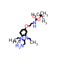 CCN1c2cc(OCCNC(=O)OC(C)(C)C)ccc2[N+](C)(CC)C1CN